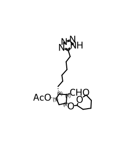 CC(=O)O[C@H]1C[C@@H](OC2CCCCO2)[C@H](C=O)[C@H]1CCCCCCc1nnn[nH]1